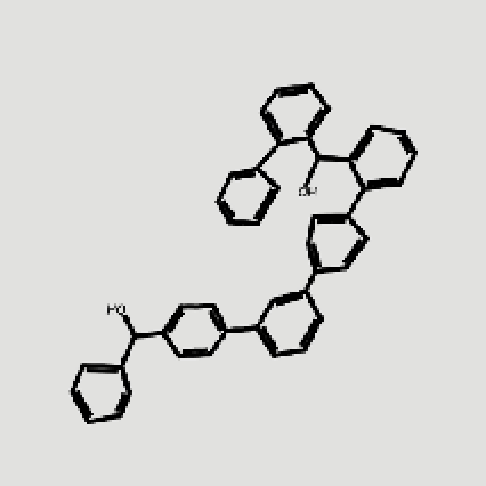 OC(c1ccccc1)c1ccc(-c2cccc(-c3ccc(-c4ccccc4C(O)c4ccccc4-c4ccccc4)cc3)c2)cc1